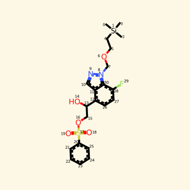 C[Si](C)(C)CCOCn1ncc2c(C(O)COS(=O)(=O)c3ccccc3)ccc(F)c21